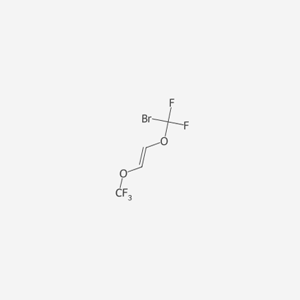 FC(F)(F)OC=COC(F)(F)Br